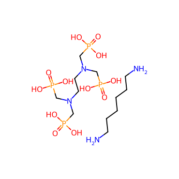 NCCCCCCN.O=P(O)(O)CN(CCN(CP(=O)(O)O)CP(=O)(O)O)CP(=O)(O)O